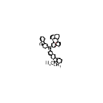 CC1(C)c2ccccc2-c2cc3cc(N(c4cccc(-c5cccc6cccc(-c7ccccc7)c56)c4)c4ccc5oc6ccccc6c5c4)ccc3cc21